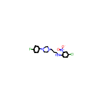 O=[N+]([O-])c1cc(Cl)ccc1NCCCN1CCN(c2ccc(F)cc2)CC1